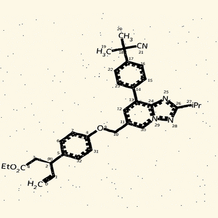 C=C[C@@H](CC(=O)OCC)c1ccc(OCc2cc(-c3ccc(C(C)(C)C#N)cc3)c3nc(C(C)C)nn3c2)cc1